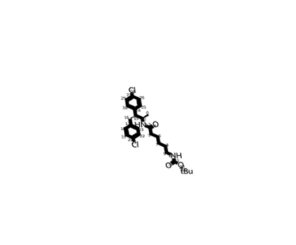 C[C@@H](NC(=O)CCCCCNC(=O)OC(C)(C)C)[C@H](Cc1ccc(Cl)cc1)c1ccc(Cl)cc1